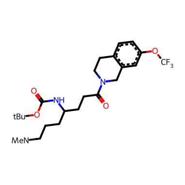 CNCCCC(CCC(=O)N1CCc2ccc(OC(F)(F)F)cc2C1)NC(=O)OC(C)(C)C